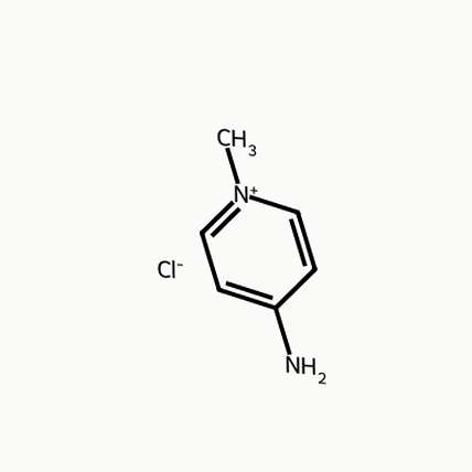 C[n+]1ccc(N)cc1.[Cl-]